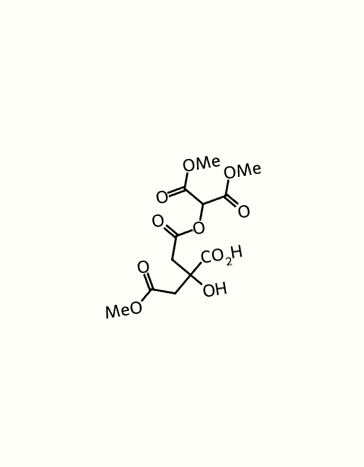 COC(=O)CC(O)(CC(=O)OC(C(=O)OC)C(=O)OC)C(=O)O